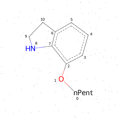 CCCCCOc1cccc2c1NCC2